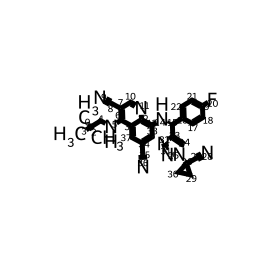 CC(C)(C)CNc1c(C#N)cnc2c(N[C@@H](c3ccc(F)cc3)c3cn(C4(C#N)CC4)nn3)cc(C#N)cc12